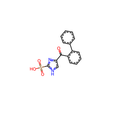 O=C(c1c[nH]c(S(=O)(=O)O)n1)c1ccccc1-c1ccccc1